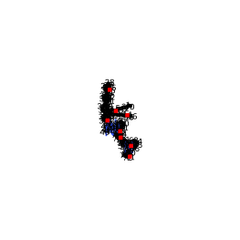 CCCCCCCCC1(CCCCCCCC)c2cc(-c3ccc(-c4ccc(C)cc4)cc3)ccc2-c2ccc(-c3cc(C)nc(-n4c5ccccc5c5cc(-c6ccc7c(c6)c6ccccc6n7-c6ccccc6)ccc54)n3)cc21